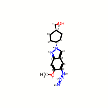 COc1cc2nn([C@H]3CC[C@H](CO)CC3)cc2cc1N=[N+]=[N-]